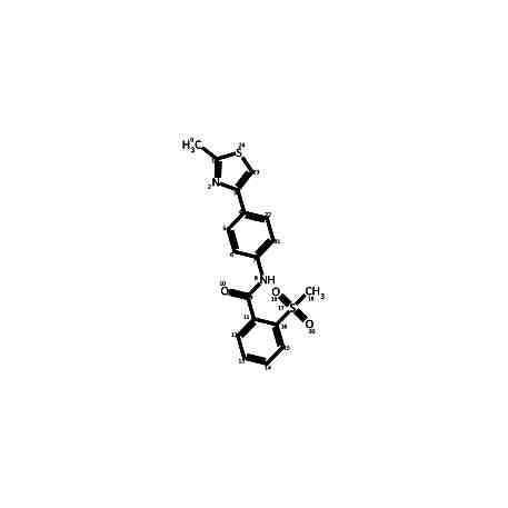 Cc1nc(-c2ccc(NC(=O)c3ccccc3S(C)(=O)=O)cc2)cs1